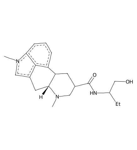 CCC(CO)NC(=O)C1CC2c3cccc4c3c(cn4C)C[C@H]2N(C)C1